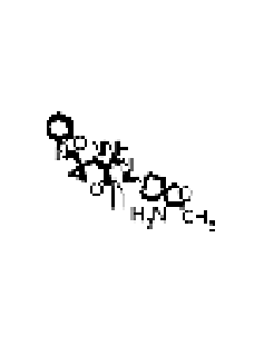 C[C@@H]1OCC2(CCN(c3nc4[nH]nc(C5(c6nc7ccccc7o6)CC5)c4c(=O)[nH]3)CC2)[C@@H]1N